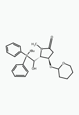 CN1C(=O)C[C@@H](OC2CCCCO2)[C@@H]1C(O)[Si](c1ccccc1)(c1ccccc1)C(C)(C)C